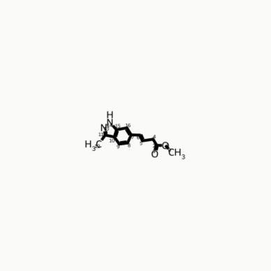 COC(=O)CC=Cc1ccc2c(C)n[nH]c2c1